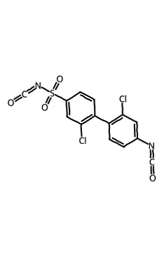 O=C=Nc1ccc(-c2ccc(S(=O)(=O)N=C=O)cc2Cl)c(Cl)c1